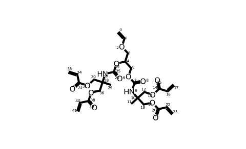 C=COCC(COC(=O)NC(C)(COC(=O)C=C)COC(=O)C=C)OC(=O)NC(C)(COC(=O)C=C)COC(=O)C=C